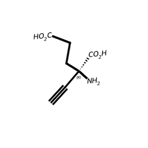 C#C[C@](N)(CCC(=O)O)C(=O)O